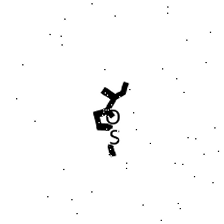 C=C(CC)c1ccc(SCC)o1